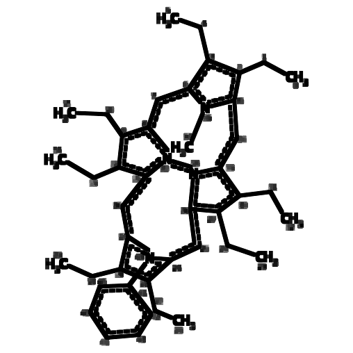 CCc1c(CC)c2cc3c(CC)c(CC)c4cc5c(CC)c(CC)c(cc6c(CC)c(CC)c(cc1n2C)n6n34)n5-c1ccccc1